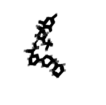 Cc1cc(C)c(S(=O)(=O)N[C@@H](CNC(=O)c2cccc(N3CCC(Nc4ncccn4)CC3)c2)C(=O)OC(C)(C)C)c(C)c1